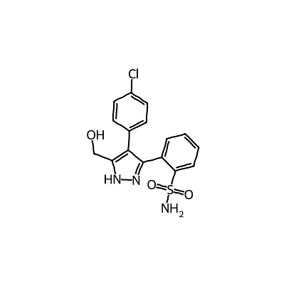 NS(=O)(=O)c1ccccc1-c1n[nH]c(CO)c1-c1ccc(Cl)cc1